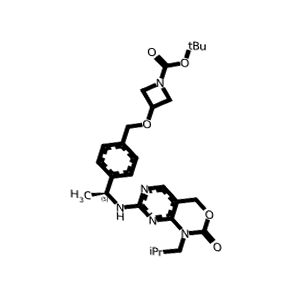 CC(C)CN1C(=O)OCc2cnc(N[C@@H](C)c3ccc(COC4CN(C(=O)OC(C)(C)C)C4)cc3)nc21